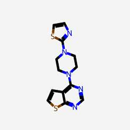 c1csc(N2CCN(c3ncnc4sccc34)CC2)n1